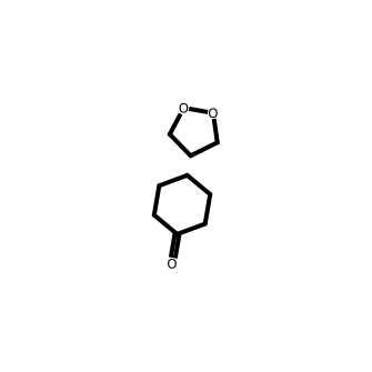 C1COOC1.O=C1CCCCC1